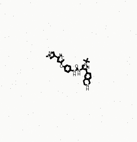 Cn1cc(-c2cc(Oc3ccc(NC(=O)Nc4cn(C(C)(C)C)nc4-c4ccc5c(c4)CCNC5)cc3)ccn2)cn1